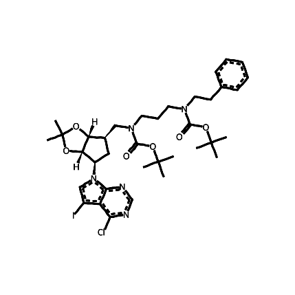 CC(C)(C)OC(=O)N(CCCN(C[C@H]1C[C@@H](n2cc(I)c3c(Cl)ncnc32)[C@@H]2OC(C)(C)O[C@H]12)C(=O)OC(C)(C)C)CCc1ccccc1